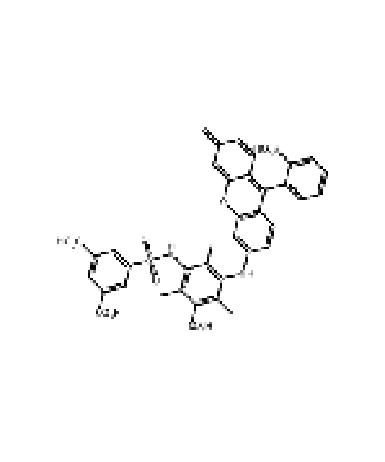 C=c1ccc2c(c1)Oc1cc(Nc3c(C)c(NS(=O)(=O)c4cc(C(=O)O)cc(C(=O)O)c4)c(C)c(S(=O)(=O)O)c3C)ccc1C=2c1ccccc1S(=O)(=O)O